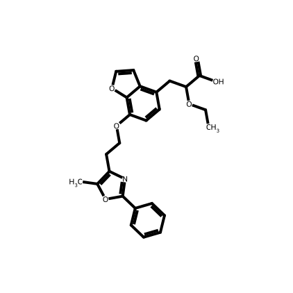 CCOC(Cc1ccc(OCCc2nc(-c3ccccc3)oc2C)c2occc12)C(=O)O